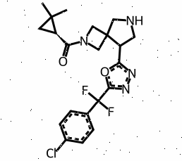 CC1(C)C[C@@H]1C(=O)N1CC2(CNCC2c2nnc(C(F)(F)c3ccc(Cl)cc3)o2)C1